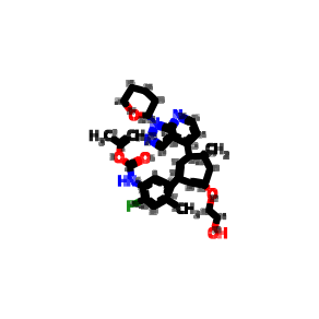 C=C(C)OC(=O)Nc1cc(C2=CC(c3ccnc4c3cnn4C3CCCCO3)C(=C)CC(OCCO)=C2)c(C)cc1F